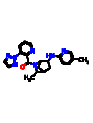 Cc1ccc(NC2CC3CC2N(C(=O)c2ncccc2-n2nccn2)C3C)nc1